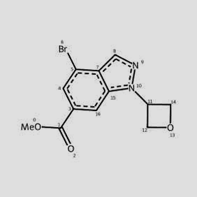 COC(=O)c1cc(Br)c2cnn(C3COC3)c2c1